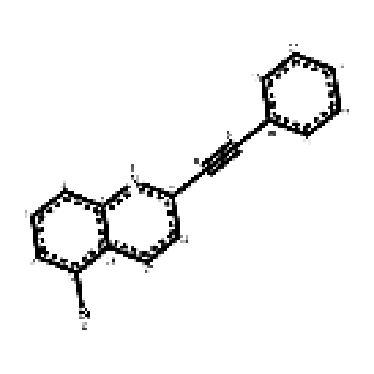 Brc1cccc2nc(C#Cc3ccccc3)ccc12